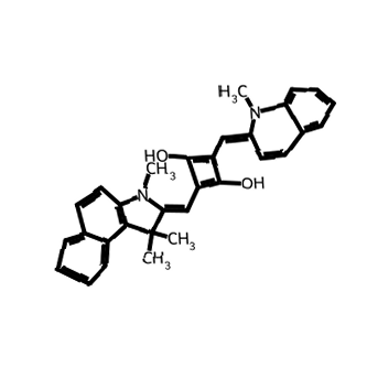 CN1C(=CC2=C(O)C(C=C3N(C)c4ccc5ccccc5c4C3(C)C)=C2O)C=Cc2ccccc21